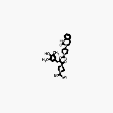 CCCC(CC)N1CCN(C(=O)[C@@H](Cc2cc(C)c(O)c(C)c2)OC(=O)N2CCC(N3CCc4ccccc4NC3=O)CC2)CC1